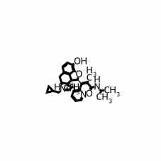 C/C(C(=O)NC(C)C)=C(/c1ccccn1)[C@@H]1Oc2c(O)ccc3c2[C@@]12CCN(CC1CC1)[C@H](C3)[C@@]2(C)O